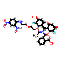 CC(OCCOCCNc1ccc([N+](=O)[O-])cc1[N+](=O)[O-])N(C(=O)c1ccccc1C(=O)O)c1c2cc(F)c(=O)cc-2oc2cc(O)c(F)cc12